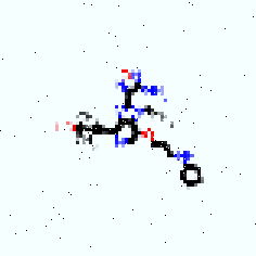 CCn1c(-c2nonc2N)nc2c(C#CC(C)(C)O)ncc(OCCCNC3CCCC3)c21